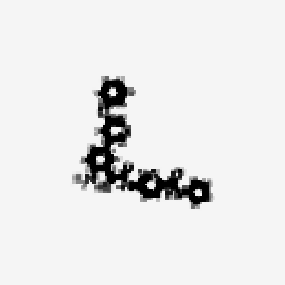 N=C(C(=O)Nc1ccc(C(=O)NC2CCCC2)nc1)c1cc(-c2cncc(Oc3ccccc3)c2)ccc1N